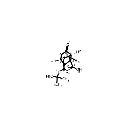 CC(C)(C)OC(=O)N1[C@H]2CC[C@H](C(=O)C2)[C@@H]1C(=O)O